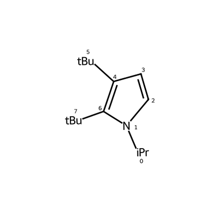 CC(C)n1ccc(C(C)(C)C)c1C(C)(C)C